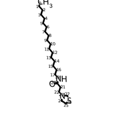 CCCCCCCCCCCCCCCCCCNC(=O)CCN1CCSC1